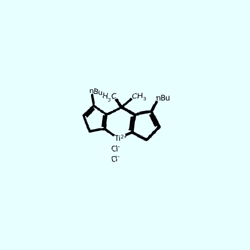 CCCCC1=CC[C]2=C1C(C)(C)C1=[C](CC=C1CCCC)[Ti+2]2.[Cl-].[Cl-]